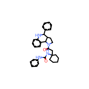 O=C(Nc1ccccc1)NC1(CC(=O)N2CCC3C(c4ccccc4)Nc4ccccc4C32)CCCCC1